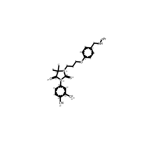 CCCNCc1ccc(OCCCN2C(=S)N(c3ccc(C#N)c(C(F)(F)F)c3)C(=O)C2(C)C)cc1